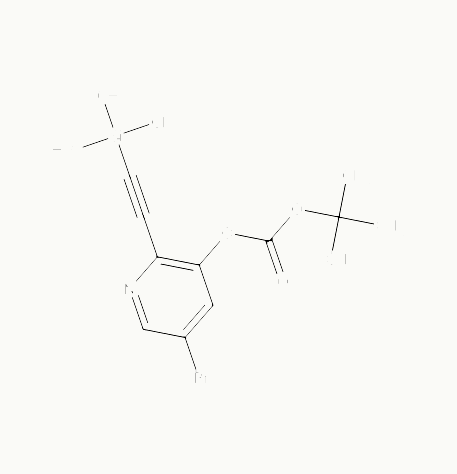 CC(C)(C)OC(=O)Oc1cc(Br)cnc1C#C[Si](C)(C)C